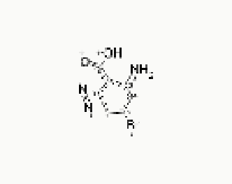 N#N.Nc1cc(Br)ccc1C(=O)O